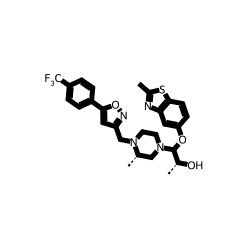 Cc1nc2cc(OC([C@@H](C)O)N3CCN(Cc4cc(-c5ccc(C(F)(F)F)cc5)on4)[C@@H](C)C3)ccc2s1